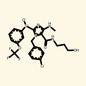 CNc1nc([S+]([O-])c2cccc(OC(F)(F)F)c2)n(Cc2ccc(Cl)cc2)c1C(=O)NCCCO